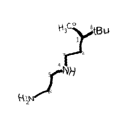 CC(CCNCCN)C(C)(C)C